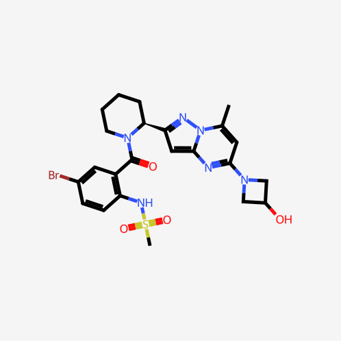 Cc1cc(N2CC(O)C2)nc2cc([C@@H]3CCCCN3C(=O)c3cc(Br)ccc3NS(C)(=O)=O)nn12